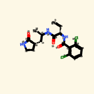 CC(C)C[C@H](NC(=O)c1c(Cl)cccc1Cl)C(=O)N[C@H](C#N)C[C@@H]1CCNC1=O